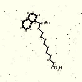 CCCCC(CCCCCCCCCCC(=O)O)c1cccc2ccccc12